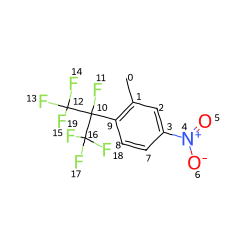 Cc1cc([N+](=O)[O-])ccc1C(F)(C(F)(F)F)C(F)(F)F